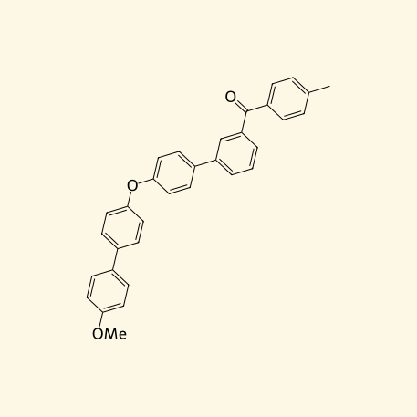 COc1ccc(-c2ccc(Oc3ccc(-c4cccc(C(=O)c5ccc(C)cc5)c4)cc3)cc2)cc1